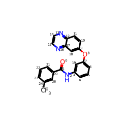 O=C(Nc1cccc(Oc2ccc3nccnc3c2)c1)c1cccc(C(F)(F)F)c1